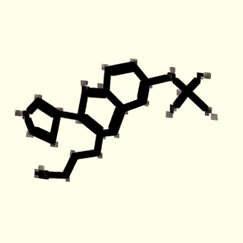 OCCCc1cc2cc(OC(F)(F)F)ccc2nc1-c1ccsc1